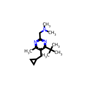 Cc1nc(CN(C)C)nc(C(C)(C)C)c1CC1CC1